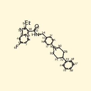 CCc1nc2cc(F)ccn2c1C(=O)NCc1ccc(N2CCC(c3ccccc3)CC2)cc1